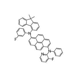 CC1(C)c2ccccc2-c2c(N(c3cccc(F)c3)c3ccc4ccc5c(N(c6ccccc6)c6ncccc6F)ccc6ccc3c4c65)cccc21